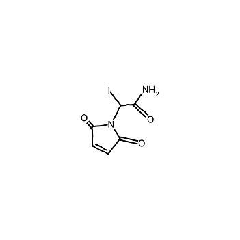 NC(=O)C(I)N1C(=O)C=CC1=O